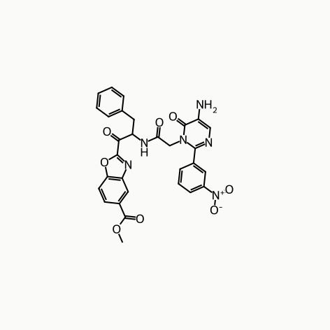 COC(=O)c1ccc2oc(C(=O)C(Cc3ccccc3)NC(=O)Cn3c(-c4cccc([N+](=O)[O-])c4)ncc(N)c3=O)nc2c1